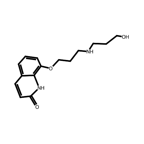 O=c1ccc2cccc(OCCCNCCCO)c2[nH]1